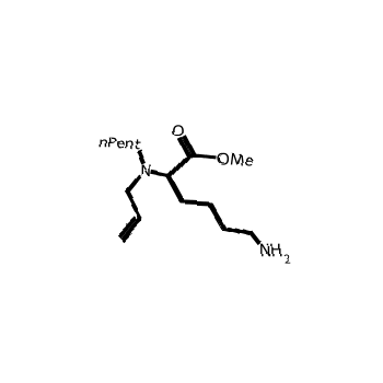 C=CCN(CCCCC)C(CCCCN)C(=O)OC